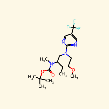 CCC(CN(CCOC)c1ncc(C(F)(F)F)cn1)N(C)C(=O)OC(C)(C)C